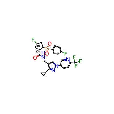 O=C(NCc1cn(-c2ccc(C(F)(F)F)nc2)nc1C1CC1)[C@@H]1C[C@@H](F)CC1S(=O)(=O)c1ccc(F)cc1